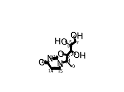 C[C@@H]1C(C(O)[C@H](O)CO)Oc2nc(=O)ccn21